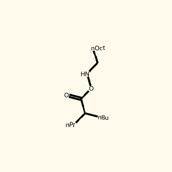 CCCCCCCCCNOC(=O)C(CCC)CCCC